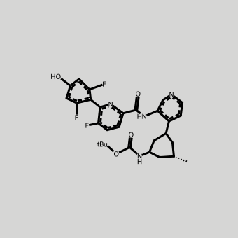 C[C@@H]1CC(NC(=O)OC(C)(C)C)CC(c2ccncc2NC(=O)c2ccc(F)c(-c3c(F)cc(O)cc3F)n2)C1